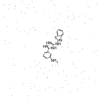 N=C(NC(=N)c1cccc(N)c1)Nc1nc2ccccc2s1